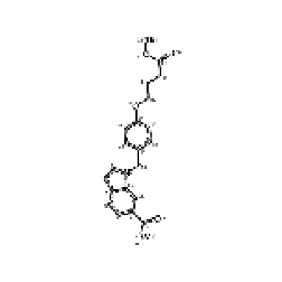 COC(=O)c1ccc2ccn(Cc3ccc(OCCCC(=O)OC(C)(C)C)cc3)c2c1